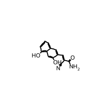 N#CC(=Cc1cc2cccc(O)c2cc1O)C(N)=O